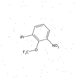 C[C](C)c1cccc([N+](=O)[O-])c1OC(F)(F)F